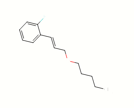 [CH2]CCCCOC/C=C/c1ccccc1F